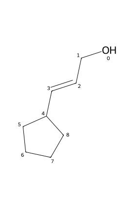 OCC=CC1CCCC1